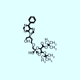 CC(C)(C)OC(=O)C(OP(=O)(O)COCCC(CO)n1cnc2c(-c3ccccc3)ncnc21)C(=O)OC(C)(C)C